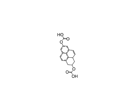 O=C(O)Oc1cc2c3c4c(ccc3c1)CC(OC(=O)O)CC4C=C2